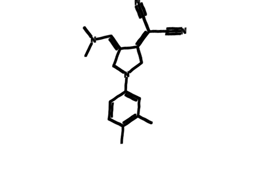 Cc1ccc(N2CC(=CN(C)C)C(=C(C#N)C#N)C2)cc1C